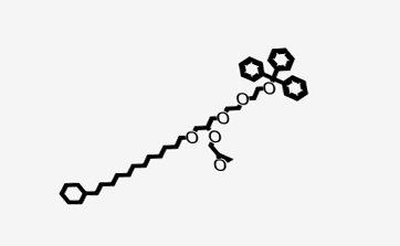 c1ccc(C(OCCOCCOCC(COCCCCCCCCCCCCC2CCCCC2)OCC2CO2)(c2ccccc2)c2ccccc2)cc1